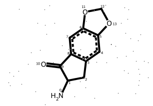 NC1Cc2cc3c(cc2C1=O)OCO3